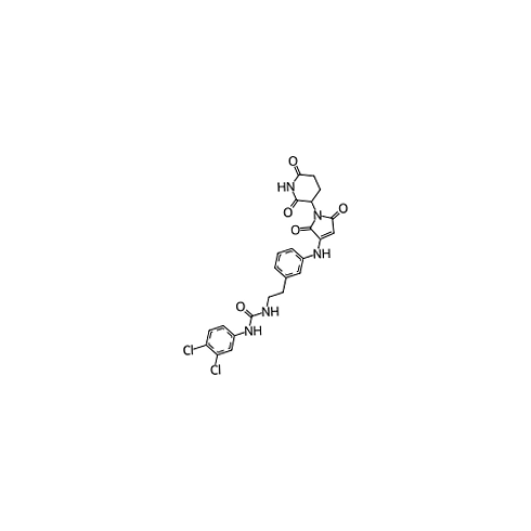 O=C1CCC(N2C(=O)C=C(Nc3cccc(CCNC(=O)Nc4ccc(Cl)c(Cl)c4)c3)C2=O)C(=O)N1